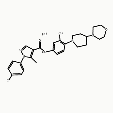 Cc1c(C(=O)Nc2ccc(N3CCC(N4CCOCC4)CC3)c(C#N)c2)cnn1-c1ccc(Cl)cc1.Cl